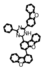 c1ccc(C2=NC(c3ccc(-c4cccc5oc6ccccc6c45)c4oc5ccccc5c34)NC(c3ccc4oc5ccccc5c4c3)=N2)cc1